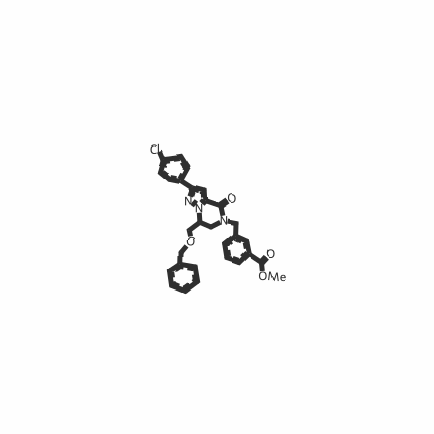 COC(=O)c1cccc(CN2CC(COCc3ccccc3)n3nc(-c4ccc(Cl)cc4)cc3C2=O)c1